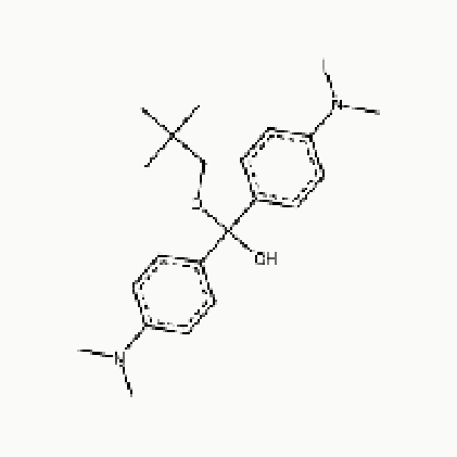 CN(C)c1ccc(C(O)(OCC(C)(C)C)c2ccc(N(C)I)cc2)cc1